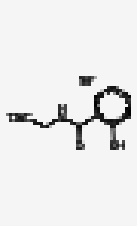 O=C([O-])CNC(=O)c1ccccc1O.[Na+]